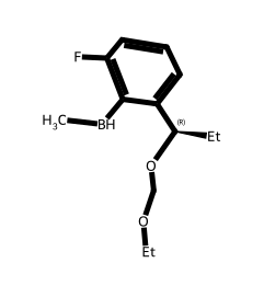 CBc1c(F)cccc1[C@@H](CC)OCOCC